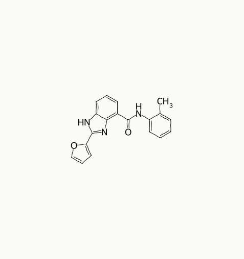 Cc1ccccc1NC(=O)c1cccc2[nH]c(-c3ccco3)nc12